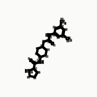 O=C(CC1CCC(NC(=O)C2CCCN2)CC1)Nc1cc(C(F)(F)F)cc(C(F)(F)F)c1